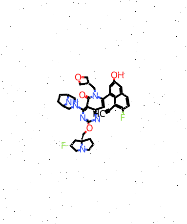 C#Cc1c(F)ccc2cc(O)cc(-c3cc4nc(OC[C@@]56CCCN5C[C@H](F)C6)nc(N5CC6CCC(C5)N6)c4c(=O)n3CC3COC3)c12